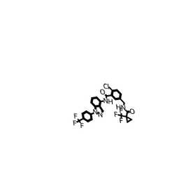 O=C(Nc1cccc2c1cnn2-c1ccc(C(F)(F)F)cc1)c1cc(CNC(=O)C2(C(F)(F)F)CC2)ccc1Cl